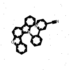 N#Cc1ccnc(-c2ccccc2-n2c3ccccc3c3ccc4oc5ccccc5c4c32)c1